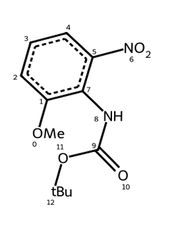 COc1cccc([N+](=O)[O-])c1NC(=O)OC(C)(C)C